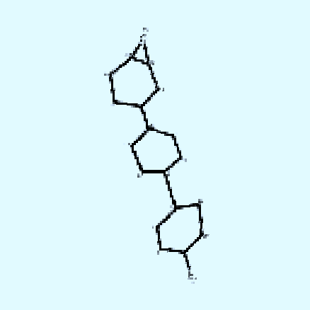 CCC1CCC(C2CCC(C3CCC4OC4C3)CC2)CC1